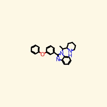 CC(C1CCCCN1)n1c(-c2cccc(Oc3ccccc3)c2)nc2ccccc21